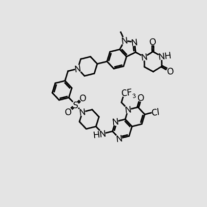 Cn1nc(N2CCC(=O)NC2=O)c2ccc(C3CCN(Cc4cccc(S(=O)(=O)N5CCC(Nc6ncc7cc(Cl)c(=O)n(CC(F)(F)F)c7n6)CC5)c4)CC3)cc21